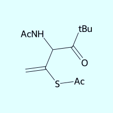 C=C(SC(C)=O)C(NC(C)=O)C(=O)C(C)(C)C